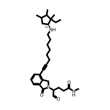 CCC1(C)C(C)C(C)C[C@@H]1NCCCCCCC#Cc1cccc2c1CN(C(C=O)CCC(=O)NC)C2=O